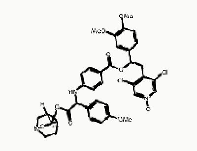 COc1ccc(C(Nc2ccc(C(=O)OC(Cc3c(Cl)c[n+]([O-])cc3Cl)c3ccc(OC)c(OC)c3)cc2)C(=O)O[C@H]2CN3CCC2CC3)cc1